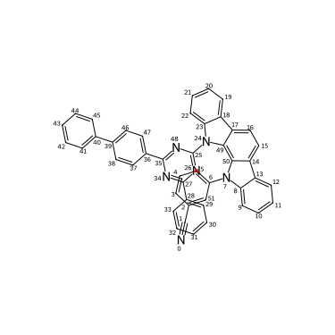 N#Cc1cccc(-n2c3ccccc3c3ccc4c5ccccc5n(-c5nc(-c6ccccc6)nc(-c6ccc(-c7ccccc7)cc6)n5)c4c32)c1